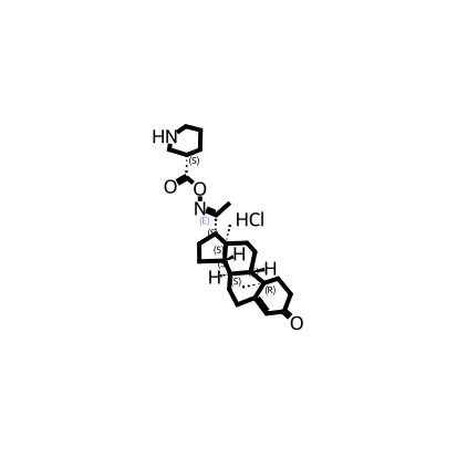 C/C(=N\OC(=O)[C@H]1CCCNC1)[C@H]1CC[C@H]2[C@@H]3CCC4=CC(=O)CC[C@]4(C)[C@H]3CC[C@]12C.Cl